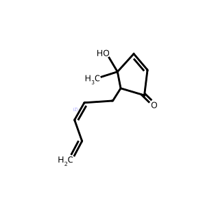 C=C/C=C\CC1C(=O)C=CC1(C)O